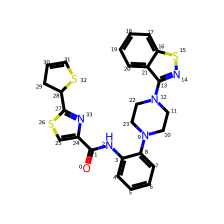 O=C(Nc1ccccc1N1CCN(c2nsc3ccccc23)CC1)c1csc(C2CC=CS2)n1